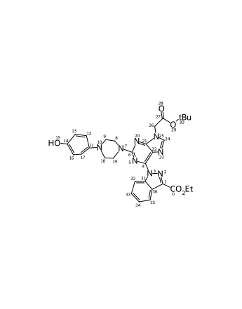 CCOC(=O)c1nn(-c2nc(N3CCN(c4ccc(O)cc4)CC3)nc3c2ncn3CC(=O)OC(C)(C)C)c2ccccc12